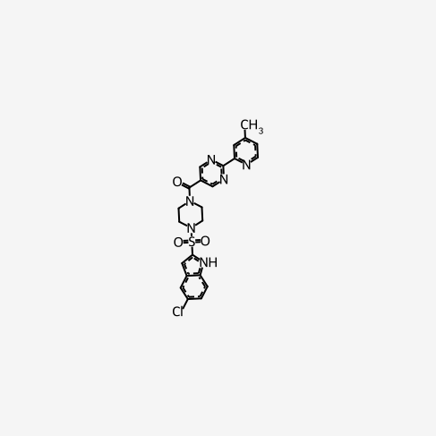 Cc1ccnc(-c2ncc(C(=O)N3CCN(S(=O)(=O)c4cc5cc(Cl)ccc5[nH]4)CC3)cn2)c1